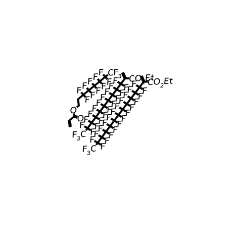 C=C(C(=O)OCC)C(F)(F)C(F)(F)C(F)(F)C(F)(F)C(F)(F)C(F)(F)C(F)(F)C(F)(F)C(F)(F)C(F)(F)C(F)(F)C(F)(F)F.C=C(C(=O)OCC)C(F)(F)C(F)(F)C(F)(F)C(F)(F)C(F)(F)C(F)(F)C(F)(F)C(F)(F)C(F)(F)C(F)(F)F.C=CC(=O)OCCC(F)(F)C(F)(F)C(F)(F)C(F)(F)C(F)(F)C(F)(F)F